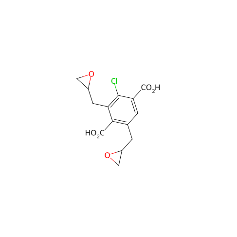 O=C(O)c1cc(CC2CO2)c(C(=O)O)c(CC2CO2)c1Cl